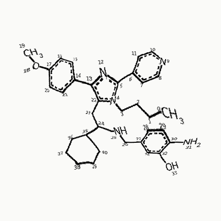 CCCCn1c(-c2ccncc2)nc(-c2ccc(OC)cc2)c1CC(NCc1ccc(N)c(O)c1)C1CCCCC1